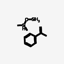 C=C(C)c1ccccc1.C[SiH](C)O[SiH3]